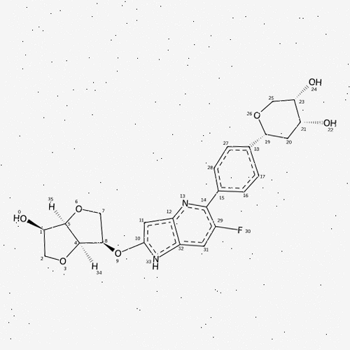 O[C@@H]1CO[C@H]2[C@@H]1OC[C@H]2Oc1cc2nc(-c3ccc([C@H]4C[C@@H](O)[C@@H](O)CO4)cc3)c(F)cc2[nH]1